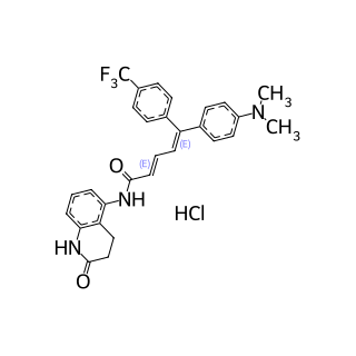 CN(C)c1ccc(/C(=C/C=C/C(=O)Nc2cccc3c2CCC(=O)N3)c2ccc(C(F)(F)F)cc2)cc1.Cl